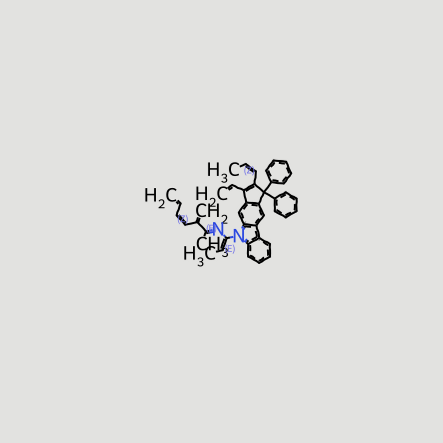 C=C/C=C\C(=C)/C(C)=N/C(=C\C)n1c2ccccc2c2cc3c(cc21)C(C=C)=C(/C=C\C)C3(c1ccccc1)c1ccccc1